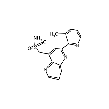 Cc1cccnc1-c1cc(CS(N)(=O)=O)c2ncccc2n1